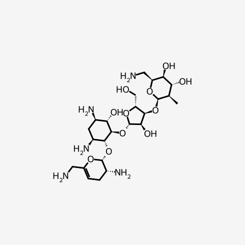 C[C@H]1[C@@H](O[C@H]2[C@@H](O)[C@H](O[C@@H]3[C@@H](O)[C@H](N)C[C@H](N)[C@H]3O[C@H]3OC(CN)=CC[C@H]3N)O[C@@H]2CO)O[C@@H](CN)[C@@H](O)[C@@H]1O